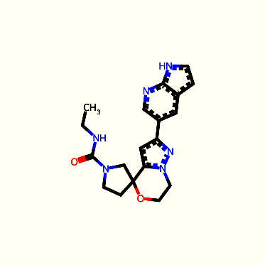 CCNC(=O)N1CCC2(C1)OCCn1nc(-c3cnc4[nH]ccc4c3)cc12